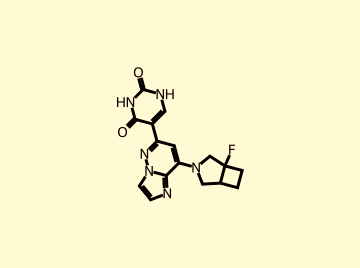 O=c1[nH]cc(-c2cc(N3CC4CCC4(F)C3)c3nccn3n2)c(=O)[nH]1